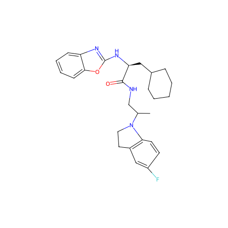 CC(CNC(=O)[C@H](CC1CCCCC1)Nc1nc2ccccc2o1)N1CCc2cc(F)ccc21